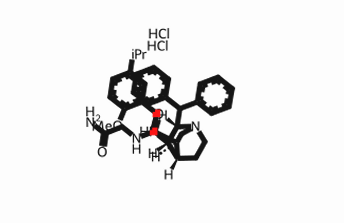 COc1ccc(C(C)C)cc1CN[C@H]1[C@H]2CCN(C[C@@H]2C(=O)NCC(N)=O)[C@H]1C(c1ccccc1)c1ccccc1.Cl.Cl